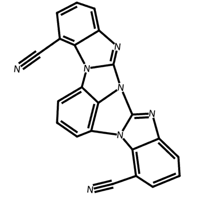 N#Cc1cccc2nc3n(c4cccc5c4n3c3nc4cccc(C#N)c4n53)c12